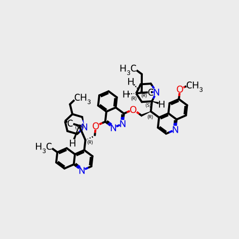 CCC1C[N@@]2CCC1C[C@H]2[C@H](COc1nnc(OC[C@H](c2ccnc3ccc(OC)cc23)[C@@H]2C[C@H]3CCN2C[C@@H]3CC)c2ccccc12)c1ccnc2ccc(C)cc12